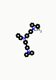 CN(c1ccc(-c2ccc(N(c3ccc(-c4ccc(-n5c6ccccc6c6ccccc65)cc4)cc3)c3ccc4ccccc4c3)cc2)cc1)c1ccccc1-c1ccccc1